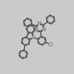 Clc1ccc(-n2c3ccccc3c3ccc(-c4ccccc4)cc32)c(-c2nc(-c3ccccc3)nc(-c3ccccc3)n2)c1